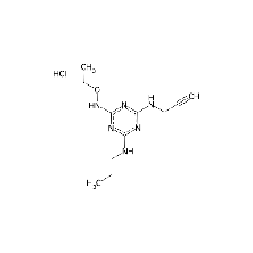 C#CCNc1nc(NCCC)nc(NOCC)n1.Cl